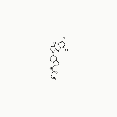 CCC(=O)NC1CCc2cc(N3CCC(C)(c4cc(Cl)cc(Cl)c4)C3=O)ccc21